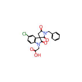 O=C(O)CN1C(=O)C2(CC(=O)N(Cc3ccccc3)C2=O)c2cc(Cl)ccc21